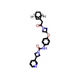 O=C(CC1C[C@H]2CC[C@H]1C2)N1CC(Oc2ccc(NC(=O)N3CC(c4cccnc4)C3)cc2)C1